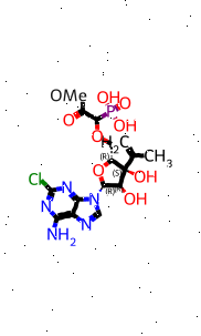 C=C(C)[C@@]1(O)[C@@H](COC(C(=O)OC)P(=O)(O)O)O[C@@H](n2cnc3c(N)nc(Cl)nc32)[C@@H]1O